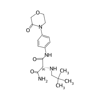 CC(C)(C)CN[C@H](C(N)=O)C(=O)Nc1ccc(N2CCOCC2=O)cc1